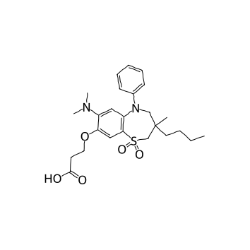 CCCCC1(C)CN(c2ccccc2)c2cc(N(C)C)c(OCCC(=O)O)cc2S(=O)(=O)C1